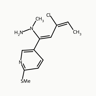 C/C=C(Cl)\C=C(\c1ccc(SC)nc1)N(C)N